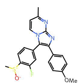 COc1ccc(-c2nc3nc(C)ccn3c2-c2ccc([S+](C)[O-])c(F)c2)cc1